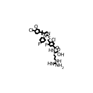 COC1C=C(C(C)(C)c2cnc(SCc3c(F)cc(C(=O)N[C@@H](CCCNC(=N)N)C(=O)O)cc3Cl)n2-c2ccc(F)cc2)C=CC1Cl